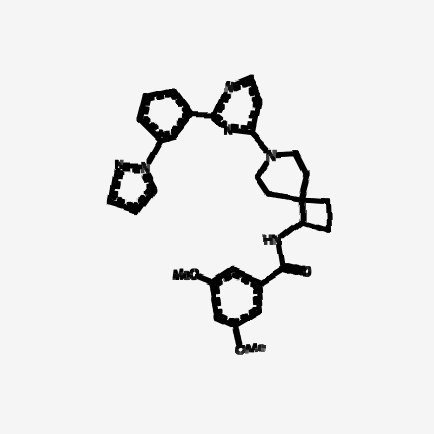 COc1cc(OC)cc(C(=O)NC2CCC23CCN(c2ccnc(-c4cccc(-n5cccn5)c4)n2)CC3)c1